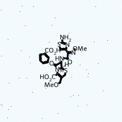 COCC1=C(C(=O)O)N2C(=O)[C@@H](NC(=O)/C(=N/OC)c3csc(N)n3)[C@H]2SC1.O=C(O)c1ccccc1